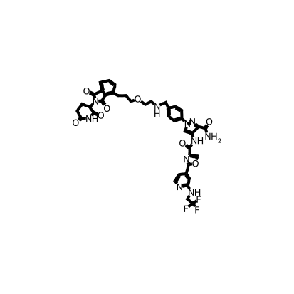 NC(=O)c1nn(-c2ccc(CNCCOCCCc3cccc4c3C(=O)N(C3CCC(=O)NC3=O)C4=O)cc2)cc1NC(=O)c1coc(-c2ccnc(NCC(F)(F)F)c2)n1